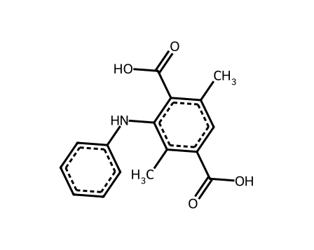 Cc1cc(C(=O)O)c(C)c(Nc2ccccc2)c1C(=O)O